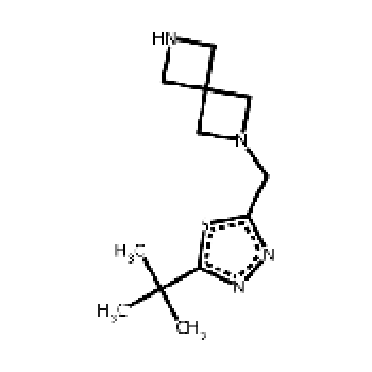 CC(C)(C)c1nnc(CN2CC3(CNC3)C2)s1